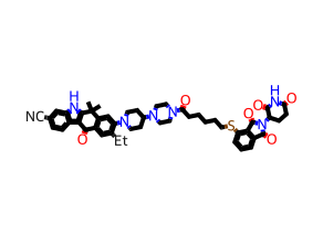 CCc1cc2c(cc1N1CCC(N3CCN(C(=O)CCCCCSc4cccc5c4C(=O)N(C4CCC(=O)NC4=O)C5=O)CC3)CC1)C(C)(C)c1[nH]c3cc(C#N)ccc3c1C2=O